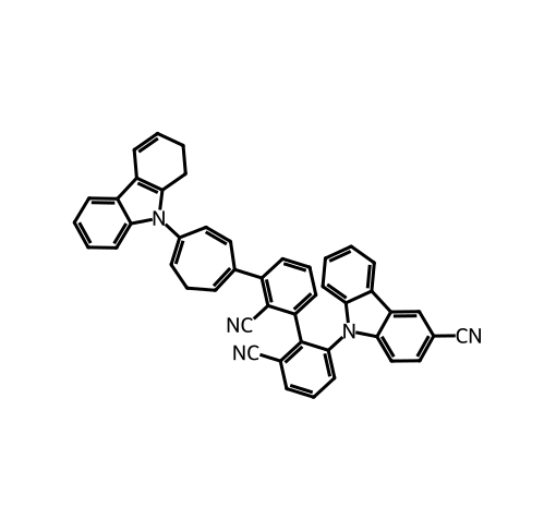 N#Cc1ccc2c(c1)c1ccccc1n2-c1cccc(C#N)c1-c1cccc(C2=CCC=C(n3c4c(c5ccccc53)C=CCC4)C=C2)c1C#N